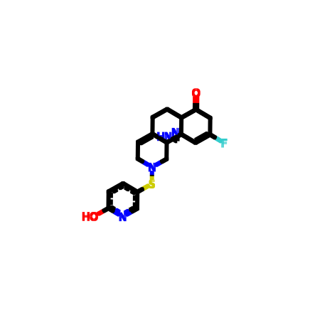 O=C1CC(F)=CC23N=CNC24CN(Sc2ccc(O)nc2)CC=C4CCC13